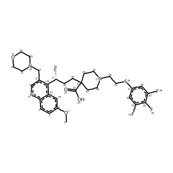 COc1ccc2ncc(CN3CCOCC3)c([C@H](F)CCC3(C(=O)O)CCN(CCSc4cc(F)c(F)c(F)c4)CC3)c2c1